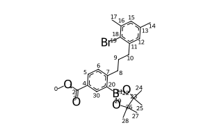 COC(=O)c1ccc(CCCc2cc(C)cc(C)c2Br)c(B2OC(C)(C)C(C)(C)O2)c1